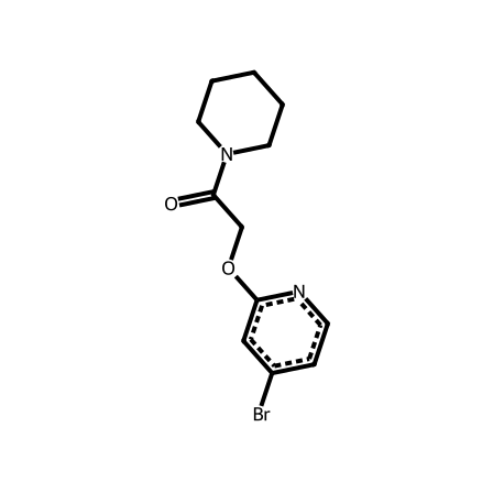 O=C(COc1cc(Br)ccn1)N1CCCCC1